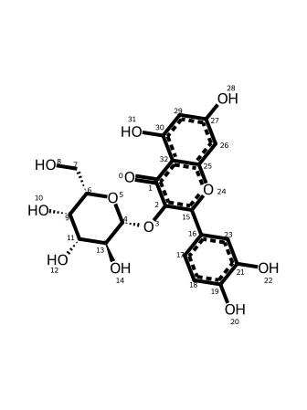 O=c1c(O[C@H]2O[C@@H](CO)[C@@H](O)[C@@H](O)[C@@H]2O)c(-c2ccc(O)c(O)c2)oc2cc(O)cc(O)c12